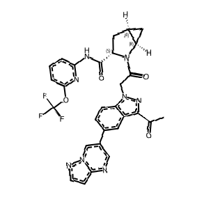 CC(=O)c1nn(CC(=O)N2[C@@H]3C[C@@H]3C[C@H]2C(=O)Nc2cccc(OC(F)(F)F)n2)c2ccc(-c3cnc4ccnn4c3)cc12